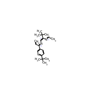 C=C\C(=N/C=C(\N=C\C)C(C)(C)C)c1ccc(C(C)(C)C)nc1